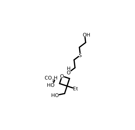 CCC1(CO)COC1.O=C(O)O.OCCSCCO